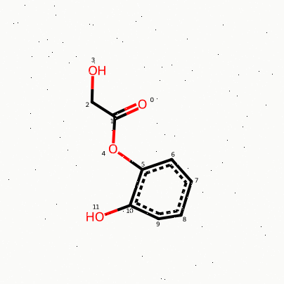 O=C(CO)Oc1ccccc1O